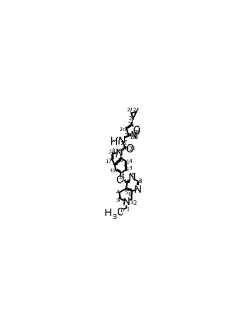 CCN1CCc2c(ncnc2Oc2ccc3c(ccn3C(=O)Nc3cc(C4CC4)on3)c2)C1